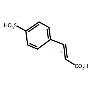 O=C(O)/C=C/c1ccc(S(=O)(=O)O)cc1